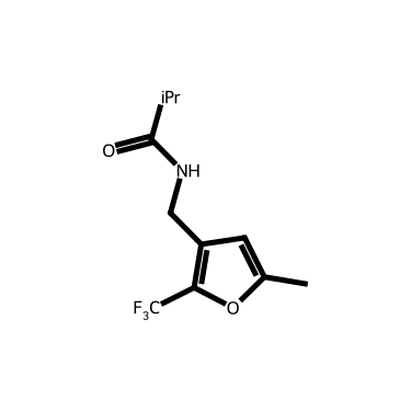 Cc1cc(CNC(=O)C(C)C)c(C(F)(F)F)o1